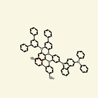 CC(C)(C)c1ccc(N2c3cc(-n4c5ccccc5c5cc(N(c6ccccc6)c6ccccc6)ccc54)ccc3B3c4ccc(-c5ccccc5)cc4N(c4cc(-c5ccccc5)cc(-c5ccccc5)c4)c4cc(C(C)(C)C)cc2c43)c(-c2ccccc2)c1